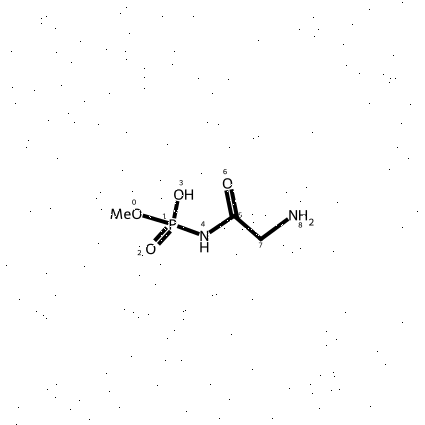 COP(=O)(O)NC(=O)CN